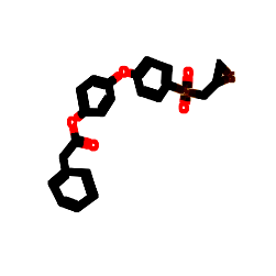 O=C(Cc1ccccc1)Oc1ccc(Oc2ccc(S(=O)(=O)CC3CS3)cc2)cc1